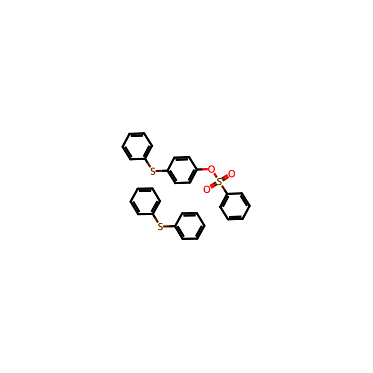 O=S(=O)(Oc1ccc(Sc2ccccc2)cc1)c1ccccc1.c1ccc(Sc2ccccc2)cc1